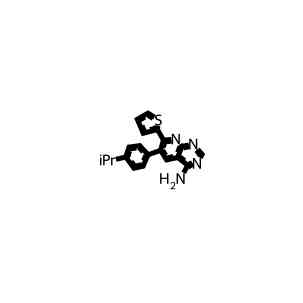 CC(C)c1ccc(-c2cc3c(N)ncnc3nc2-c2cccs2)cc1